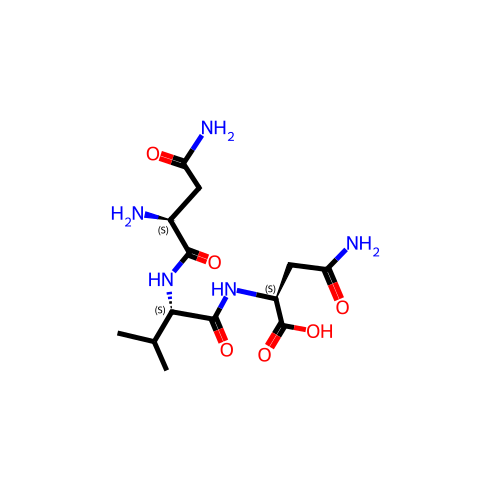 CC(C)[C@H](NC(=O)[C@@H](N)CC(N)=O)C(=O)N[C@@H](CC(N)=O)C(=O)O